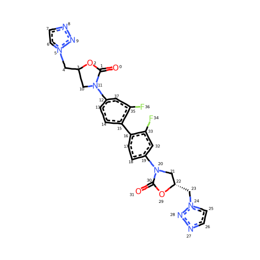 O=C1OC(Cn2ccnn2)CN1c1ccc(-c2ccc(N3C[C@H](Cn4ccnn4)OC3=O)cc2F)c(F)c1